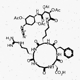 CC(=O)O[C@@H]1C[C@@H](NC(=O)[C@H](OC(C)=O)[C@@H](OC(C)=O)C(=O)NCCCC[C@@H]2NC(=O)[C@@H](Cc3ccccc3)NC(=O)[C@H](CC(=O)O)NC(=O)CNC(=O)[C@H](CCCNC(=N)N)NC2=O)[C@H](OC(C)=O)C[C@H]1N=[N+]=[N-]